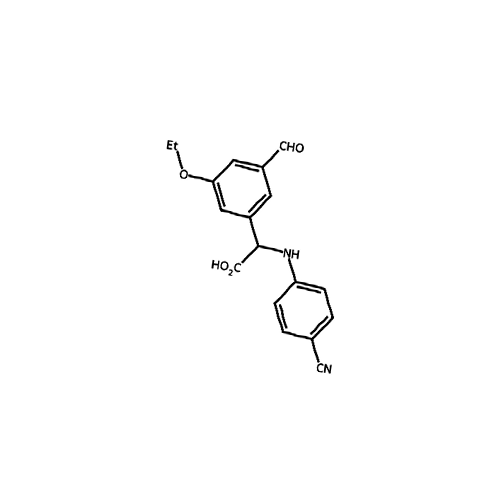 CCOc1cc(C=O)cc(C(Nc2ccc(C#N)cc2)C(=O)O)c1